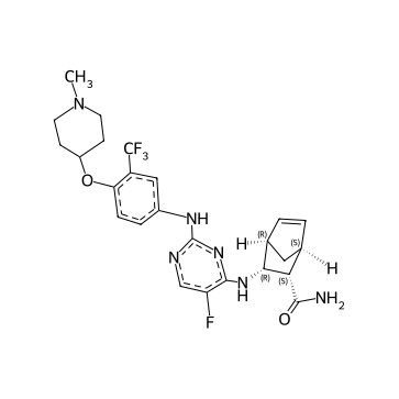 CN1CCC(Oc2ccc(Nc3ncc(F)c(N[C@H]4[C@@H](C(N)=O)[C@@H]5C=C[C@H]4C5)n3)cc2C(F)(F)F)CC1